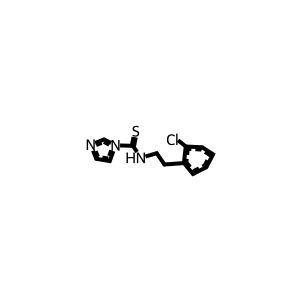 S=C(NCCc1ccccc1Cl)n1ccnc1